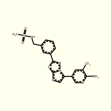 CS(=O)(=O)NCc1cccc(-c2nn3c(-c4cnc(N)c(C(F)(F)F)c4)cnc3s2)c1